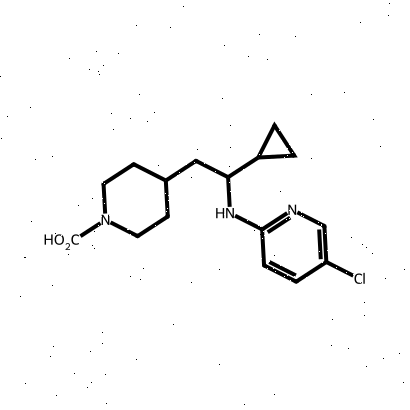 O=C(O)N1CCC(CC(Nc2ccc(Cl)cn2)C2CC2)CC1